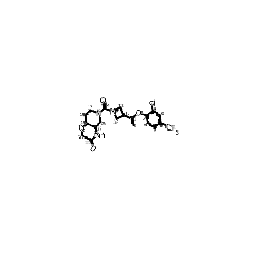 CC(Oc1ccc(C(F)(F)F)cc1Cl)C1CN(C(=O)N2CCC3OCC(=O)NC3C2)C1